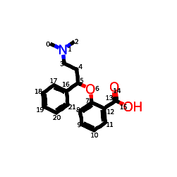 CN(C)CCC(Oc1ccccc1C(=O)O)c1ccccc1